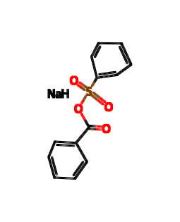 O=C(OS(=O)(=O)c1ccccc1)c1ccccc1.[NaH]